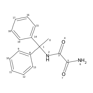 CC(NC(=O)C(N)=O)(c1ccccc1)c1ccccc1